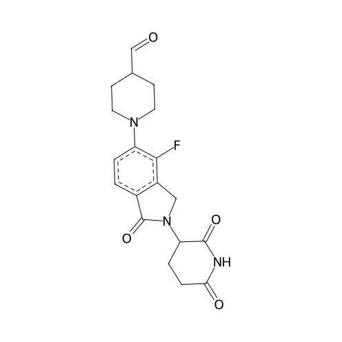 O=CC1CCN(c2ccc3c(c2F)CN(C2CCC(=O)NC2=O)C3=O)CC1